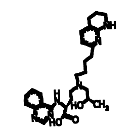 C[C@@H](O)CN(CCCCc1ccc2c(n1)NCCC2)CC[C@H](Nc1ncnc2ccccc12)C(=O)O